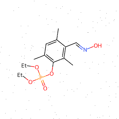 CCOP(=O)(OCC)Oc1c(C)cc(C)c(C=NO)c1C